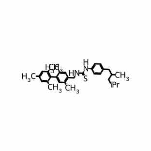 Cc1cc(C)c(-c2cc(C)c(CNC(=S)Nc3ccc(CC(C)CC(C)C)cc3)cc2C)c(C)c1